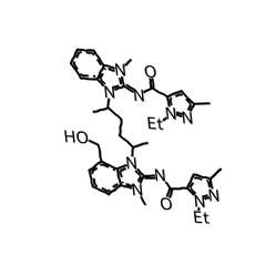 CCn1nc(C)cc1C(=O)/N=c1\n(C)c2ccccc2n1C(C)CCC(C)n1/c(=N/C(=O)c2cc(C)nn2CC)n(C)c2cccc(CO)c21